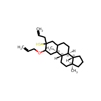 C=CCOC1C[C@@]2(C)C(CC[C@H]3[C@@H]4CCC[C@@]4(C)CC[C@@H]32)CC1(S)CC=C